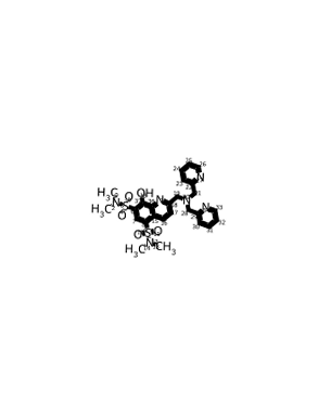 CN(C)S(=O)(=O)c1cc(S(=O)(=O)N(C)C)c2ccc(CN(Cc3ccccn3)Cc3ccccn3)nc2c1O